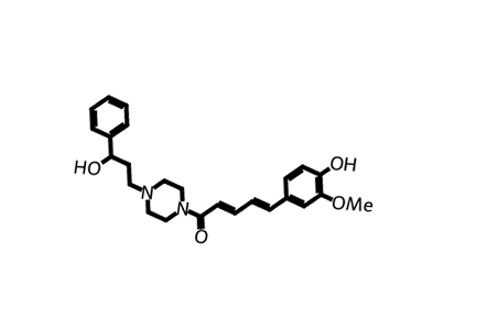 COc1cc(C=CC=CC(=O)N2CCN(CCC(O)c3ccccc3)CC2)ccc1O